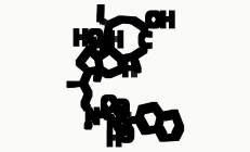 CC[C@@H]1CC[C@H](O)CCC(C)[C@H]2CCC3(C)[C@@H]([C@H](C)CCN(C)C(=O)NS(=O)(=O)c4ccc5ccccc5c4)CC[C@H]3[C@@H]2[C@@H]1O